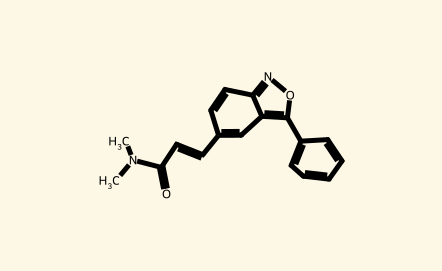 CN(C)C(=O)C=Cc1ccc2noc(-c3ccccc3)c2c1